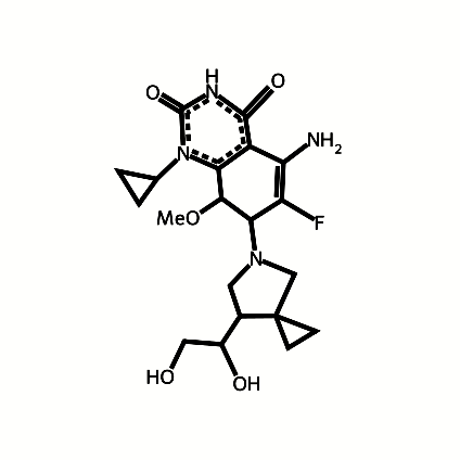 COC1c2c(c(=O)[nH]c(=O)n2C2CC2)C(N)=C(F)C1N1CC(C(O)CO)C2(CC2)C1